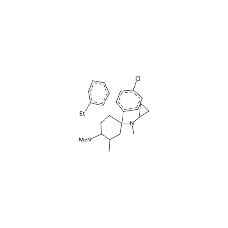 CCc1ccccc1.CNC1CCC(c2ccc(Cl)cc2)(N(C)C2CC2)CC1C